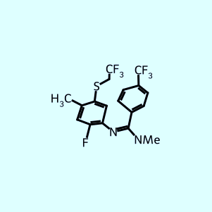 CN/C(=N/c1cc(SCC(F)(F)F)c(C)cc1F)c1ccc(C(F)(F)F)cc1